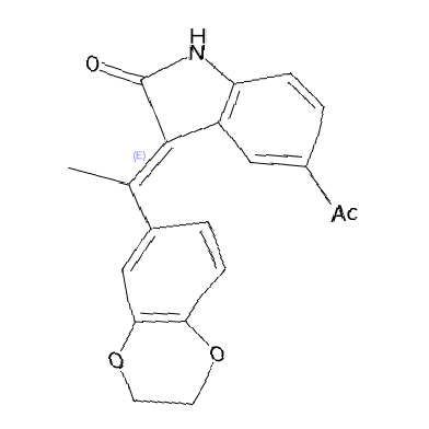 CC(=O)c1ccc2c(c1)/C(=C(/C)c1ccc3c(c1)OCCO3)C(=O)N2